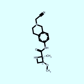 CO[C@H]1CN[C@@]1(C)C(=O)Nc1ccc2c(c1)CCN(CC#N)C2